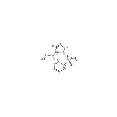 NS(=O)(=O)c1ccccc1.O=COc1cscn1